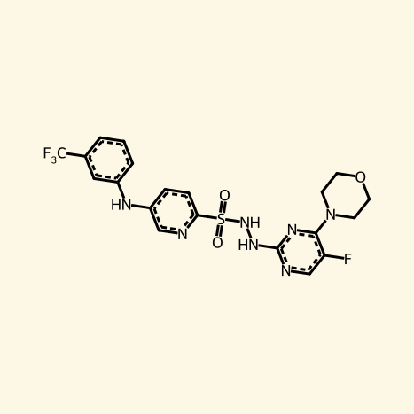 O=S(=O)(NNc1ncc(F)c(N2CCOCC2)n1)c1ccc(Nc2cccc(C(F)(F)F)c2)cn1